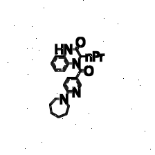 CCCC1C(=O)Nc2ccccc2N1C(=O)c1ccc(N2CCCCCC2)nc1